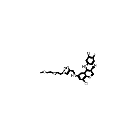 COCCOCCn1cc(CNc2cc(Cl)c3ncc(C#N)c(Nc4ccc(F)c(Cl)c4)c3c2)nn1